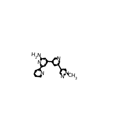 Cn1cc(-c2cncc(-c3cc(N)nc(-c4ccccn4)c3)c2)cn1